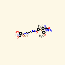 COc1cccc(Nc2c(C(N)=O)cnc3c(C)cc(Sc4cccc(C(=O)NCCCCCCCCNC[C@H](OS)c5ccc(O)c6[nH]c(=O)ccc56)c4)cc23)c1